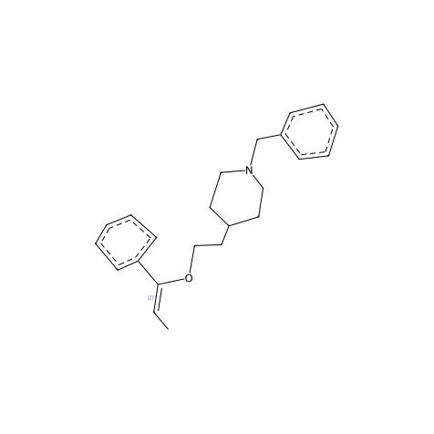 C/C=C(\OCCC1CCN(Cc2ccccc2)CC1)c1ccccc1